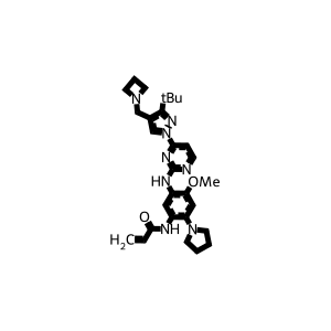 C=CC(=O)Nc1cc(Nc2nccc(-n3cc(CN4CCC4)c(C(C)(C)C)n3)n2)c(OC)cc1N1CCCC1